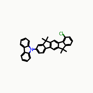 CC1(C)c2cc(-n3c4ccccc4c4ccccc43)ccc2-c2cc3c(cc21)-c1c(Cl)cccc1C3(C)C